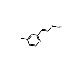 CCCS/C=C/c1nccc(C)n1